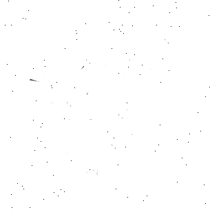 C[C@H]1C[C@@H](NC(=O)CC2(F)CCN(C)CC2)CN(c2ccc(C#N)c3ncncc23)C1